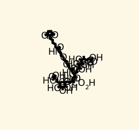 CC(CCP(=O)(O)O)C(O)C(O)C(O)C(O)OCC(NC(=O)CCOCCOCCNC(=O)CCCCCN1C(=O)C=CC1=O)C(=O)NC(COC1OC(CCP(=O)(O)O)C(O)C(O)C1O)C(=O)O